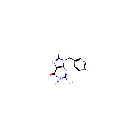 Cc1nc2c(=O)n(C)c(N)nc2n1Cc1ccc(F)cc1